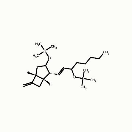 CCCCCC(/C=C/[C@H]1C(O[Si](C)(C)C)C[C@H]2C(=O)C[C@H]21)O[Si](C)(C)C